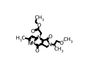 CCOC(=O)Cn1c2c(c(=O)n3nc(C)cc13)CN([C@H](C)COC)C2=O